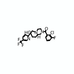 O=C(c1cccc(F)c1Cl)N1CCN2C[C@](O)(c3ccc(C(F)(F)F)cn3)CC[C@H]2C1